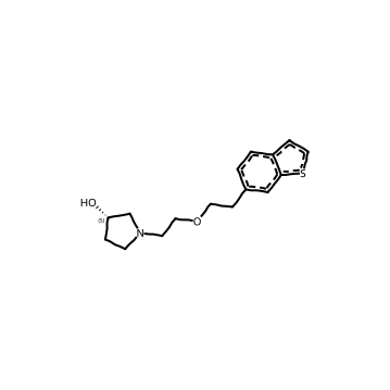 O[C@H]1CCN(CCOCCc2ccc3ccsc3c2)C1